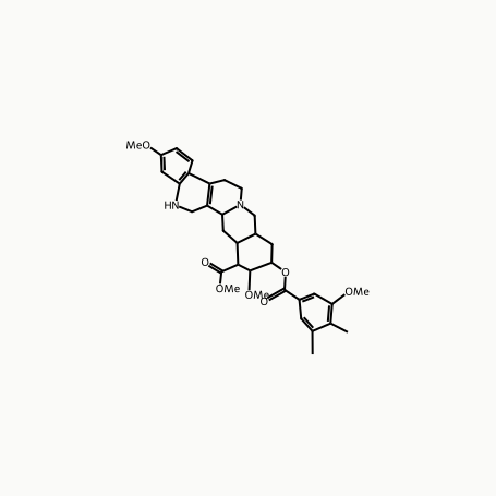 COC(=O)C1C2CC3C4=C(CCN3CC2CC(OC(=O)c2cc(C)c(C)c(OC)c2)C1OC)c1ccc(OC)cc1NC4